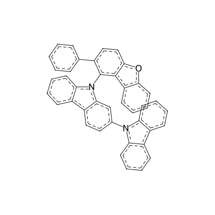 c1ccc(-c2ccc3oc4ccccc4c3c2-n2c3ccccc3c3ccc(-n4c5ccccc5c5ccccc54)cc32)cc1